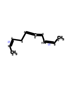 C/C=C\CC=C=C/N=C\C